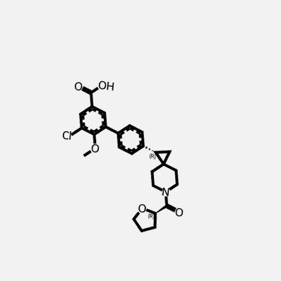 COc1c(Cl)cc(C(=O)O)cc1-c1ccc([C@@H]2CC23CCN(C(=O)[C@H]2CCCO2)CC3)cc1